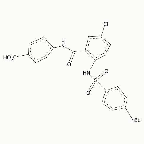 CCCCc1ccc(S(=O)(=O)Nc2ccc(Cl)cc2C(=O)Nc2ccc(C(=O)O)cc2)cc1